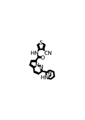 N#Cc1cscc1NC(=O)c1ccc2ccc(N3CC4CCC3CN4)nn12